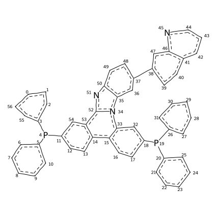 c1ccc(P(c2ccccc2)c2ccc3c4ccc(P(c5ccccc5)c5ccccc5)cc4n4c5cc(-c6ccc7cccnc7c6)ccc5nc4c3c2)cc1